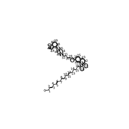 CCC=CCC=CCC=CCC=CCCCCC(=O)n1c(=O)ccc2ccc(OCCCCN3CCN(c4cccc5sccc45)CC3)cc21